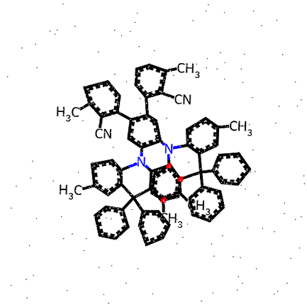 Cc1ccc2c(c1)C(c1ccccc1)(c1ccccc1)c1cc(C)ccc1N2c1cc(-c2cccc(C)c2C#N)c(-c2cccc(C)c2C#N)cc1N1c2ccc(C)cc2C(c2ccccc2)(c2ccccc2)c2cc(C)ccc21